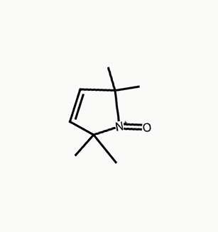 CC1(C)C=CC(C)(C)[N+]1=O